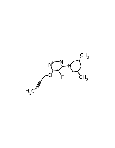 CC#CCOc1ncnc(N2C[C@H](C)C[C@@H](C)C2)c1F